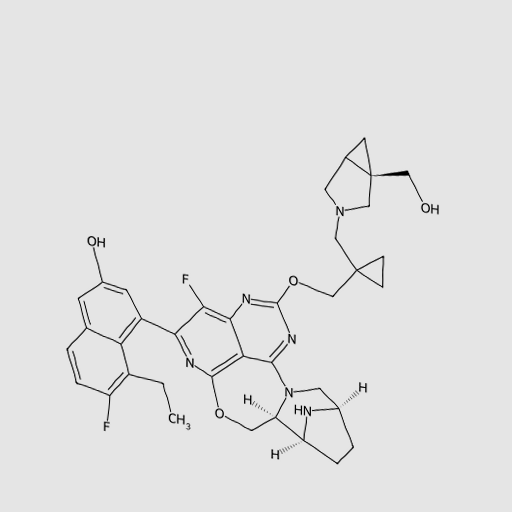 CCc1c(F)ccc2cc(O)cc(-c3nc4c5c(nc(OCC6(CN7CC8C[C@]8(CO)C7)CC6)nc5c3F)N3C[C@H]5CC[C@H](N5)[C@H]3CO4)c12